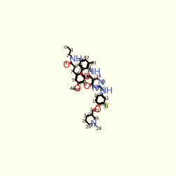 CCCNC(=O)CCc1ccc(Oc2nc(Nc3ccc(OCC4CCCN(C)C4)c(F)c3)ncc2C(=O)Nc2c(C)cccc2C)c(OC)c1